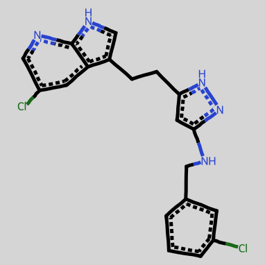 Clc1cccc(CNc2cc(CCc3c[nH]c4ncc(Cl)cc34)[nH]n2)c1